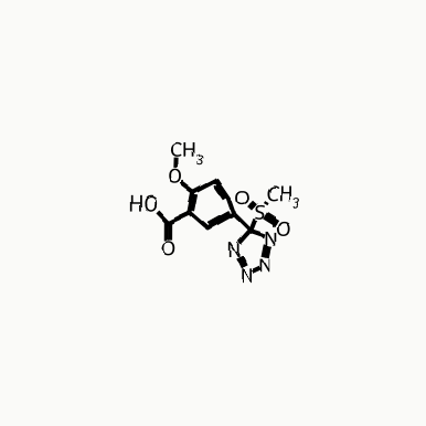 COc1ccc(C2(S(C)(=O)=O)N=NN=N2)cc1C(=O)O